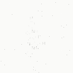 CCc1ccc(NC(=O)c2cnc3c(c(C)nn3-c3ccccc3)c2Cl)cc1